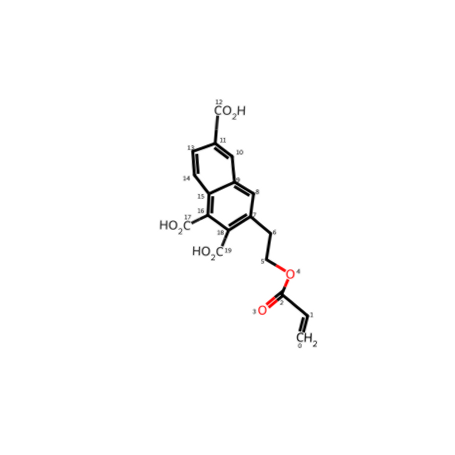 C=CC(=O)OCCc1cc2cc(C(=O)O)ccc2c(C(=O)O)c1C(=O)O